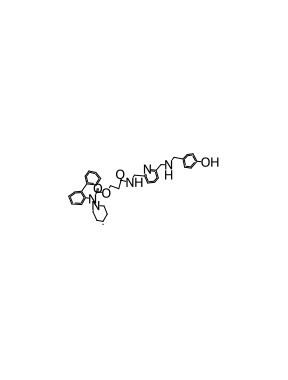 O=C(CCOC(=O)N(c1ccccc1-c1ccccc1)N1CC[CH]CC1)NCc1cccc(CNCc2ccc(O)cc2)n1